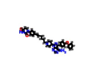 Nc1ncnc2c1c(-c1ccc(Oc3ccccc3)cc1)nn2C1CCN(CCCCC#Cc2ccc(N3CCC(=O)NC3=O)cc2)CC1